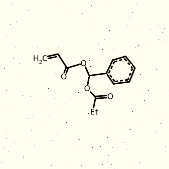 C=CC(=O)OC(OC(=O)CC)c1ccccc1